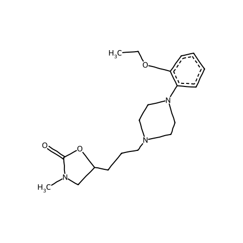 CCOc1ccccc1N1CCN(CCCC2CN(C)C(=O)O2)CC1